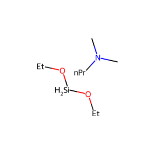 CCCN(C)C.CCO[SiH2]OCC